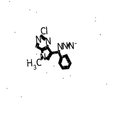 Cn1cc(C(N=[N+]=[N-])c2ccccc2)c2nc(Cl)ncc21